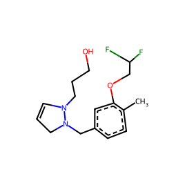 Cc1ccc(CN2CC=CN2CCCO)cc1OCC(F)F